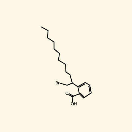 CCCCCCCCCCC(CBr)c1ccccc1C(=O)O